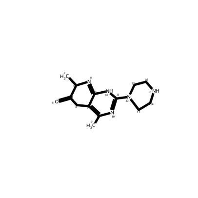 CC1=C2CC(=O)C(C)N=C2NC(N2CCNCC2)=N1